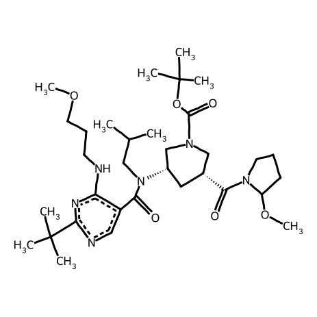 COCCCNc1nc(C(C)(C)C)ncc1C(=O)N(CC(C)C)[C@H]1C[C@@H](C(=O)N2CCCC2OC)CN(C(=O)OC(C)(C)C)C1